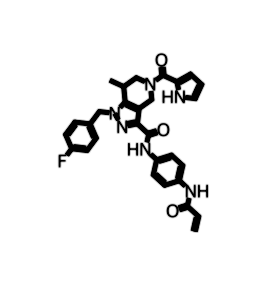 C=CC(=O)Nc1ccc(NC(=O)c2nn(Cc3ccc(F)cc3)c3c2CN(C(=O)c2ccc[nH]2)CC3C)cc1